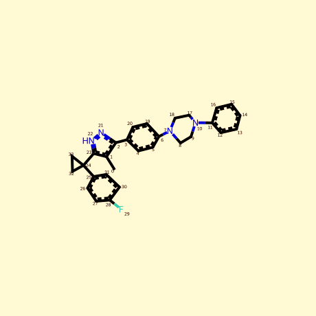 Cc1c(-c2ccc(N3CCN(c4ccccc4)CC3)cc2)n[nH]c1C1(c2ccc(F)cc2)CC1